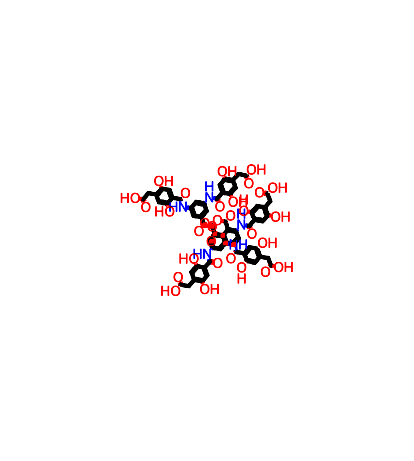 O=C(O)Cc1cc(O)c(C(=O)Nc2cc(NC(=O)c3cc(O)c(CC(=O)O)cc3O)cc(C(=O)OC(=O)c3cccc(NC(=O)c4cc(O)c(CC(=O)O)cc4O)c3C(=O)OC(=O)c3cc(NC(=O)c4cc(O)c(CC(=O)O)cc4O)cc(NC(=O)c4cc(O)c(CC(=O)O)cc4O)c3)c2)cc1O